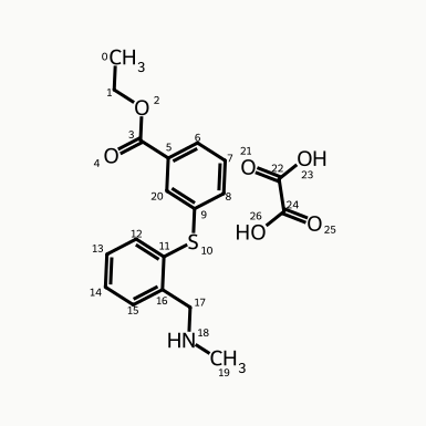 CCOC(=O)c1cccc(Sc2ccccc2CNC)c1.O=C(O)C(=O)O